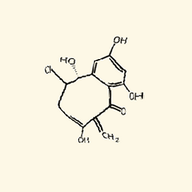 C=C1C(=O)c2c(O)cc(O)cc2[C@@H](O)C(Cl)C/C=C\1O